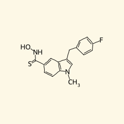 Cn1cc(Cc2ccc(F)cc2)c2cc(C(=S)NO)ccc21